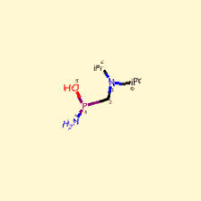 CC(C)N(CP(N)O)C(C)C